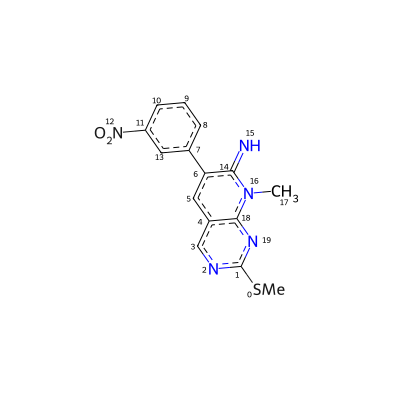 CSc1ncc2cc(-c3cccc([N+](=O)[O-])c3)c(=N)n(C)c2n1